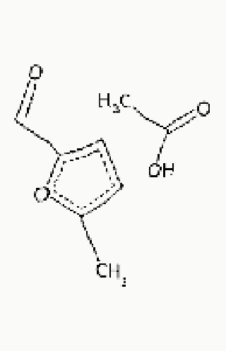 CC(=O)O.Cc1ccc(C=O)o1